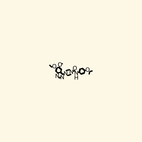 CCOc1cc2ncnc(N3CCN(C(=O)Nc4ccc(OC(C)C)cc4)CC3)c2cc1OC